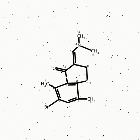 Cc1cc(Br)c(C)c2c1SCC(=CN(C)C)C2=O